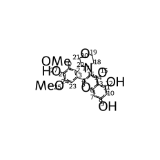 COc1cc(-c2oc3cc(O)cc(O)c3c(=O)c2N2CCOCC2)cc(OC)c1O